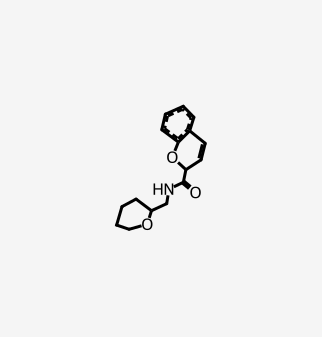 O=C(NCC1CCCCO1)C1C=Cc2ccccc2O1